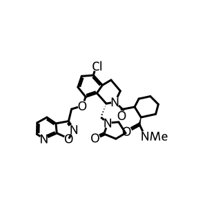 CNC(=O)[C@@H]1CCCCC1C(=O)N1CCc2c(Cl)ccc(OCc3noc4ncccc34)c2[C@H]1CN1CCCC1=O